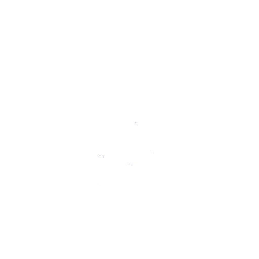 Clc1nc(N2CCOCC2)c2ncc(C3=CCOCC3)cc2n1